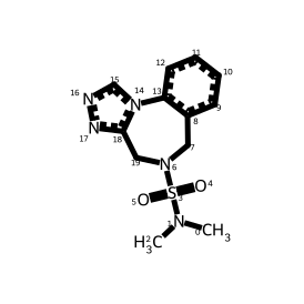 CN(C)S(=O)(=O)N1Cc2ccccc2-n2cnnc2C1